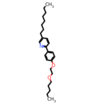 CCCCCCCCc1ccc(-c2ccc(OCCOCCCCC)cc2)nc1